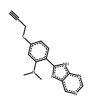 C#CCSc1ccc(-c2nc3cncnc3[nH]2)c(N(C)C)c1